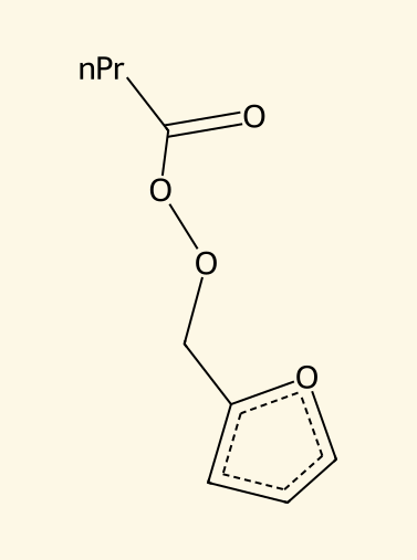 CCCC(=O)OOCc1ccco1